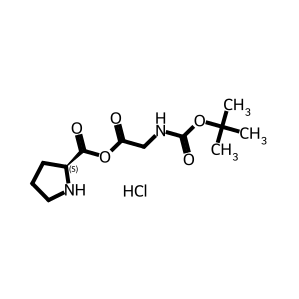 CC(C)(C)OC(=O)NCC(=O)OC(=O)[C@@H]1CCCN1.Cl